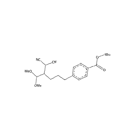 COC(OC)C(CCCc1ccc(C(=O)OC(C)(C)C)cc1)C(C#N)C#N